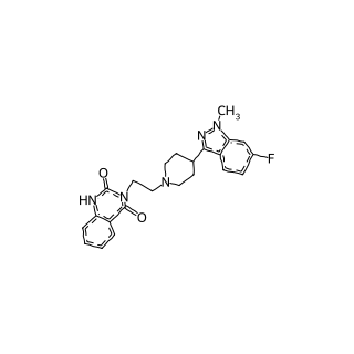 Cn1nc(C2CCN(CCn3c(=O)[nH]c4ccccc4c3=O)CC2)c2ccc(F)cc21